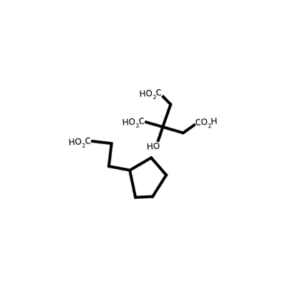 O=C(O)CC(O)(CC(=O)O)C(=O)O.O=C(O)CCC1CCCC1